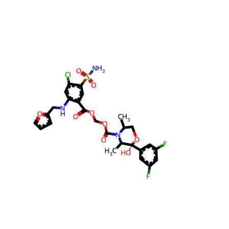 CC1CO[C@@](O)(c2cc(F)cc(F)c2)C(C)N1C(=O)OCOC(=O)c1cc(S(N)(=O)=O)c(Cl)cc1NCc1ccco1